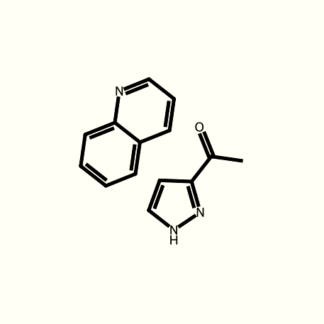 CC(=O)c1cc[nH]n1.c1ccc2ncccc2c1